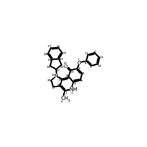 Cc1[nH]c2ccc(Oc3ccccc3)c(=O)c-2c2c1CCN2C1Cc2ccccc2C1